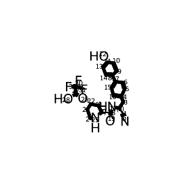 N#C[C@H](Cc1ccc(-c2ccc(O)cc2)cc1)NC(=O)[C@@H]1CCCCN1.O=C(O)C(F)(F)F